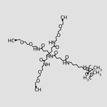 C#CCOCCOCCNC(=O)CCC(CCC(=O)NCCOCCOCC#C)(CCC(=O)NCCOCCOCC#C)NC(=O)CCCC(=O)NCCCCCCOP(=O)(OC)C(C)(C)C